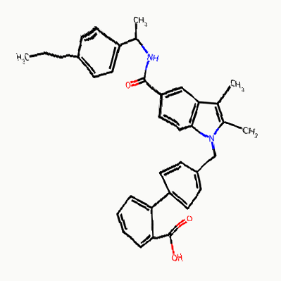 CCCc1ccc(C(C)NC(=O)c2ccc3c(c2)c(C)c(C)n3Cc2ccc(-c3ccccc3C(=O)O)cc2)cc1